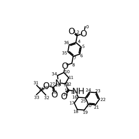 COC(=O)c1ccc(COC2C[C@@H](C(=O)NC3CCCc4ccccc43)N(C(=O)OC(C)(C)C)C2)cc1